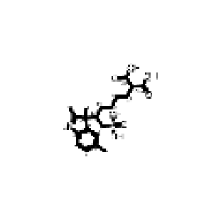 CC1=Nc2ccc(C)cc2C1(C)C(CCCCC(C(=O)O)C(=O)O)CP(=O)(O)O